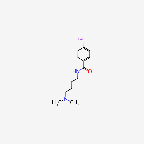 CN(C)CCCCNC(=O)c1ccc([124I])cc1